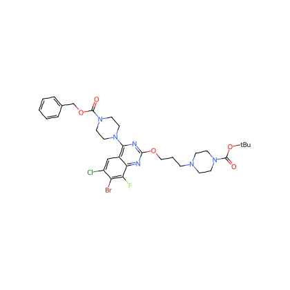 CC(C)(C)OC(=O)N1CCN(CCCOc2nc(N3CCN(C(=O)OCc4ccccc4)CC3)c3cc(Cl)c(Br)c(F)c3n2)CC1